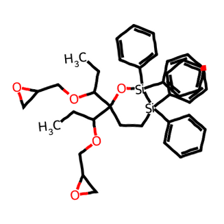 CCC(OCC1CO1)C1(C(CC)OCC2CO2)CC[Si](c2ccccc2)(c2ccccc2)[Si](c2ccccc2)(c2ccccc2)O1